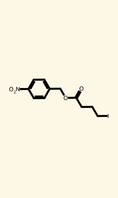 O=C(CCCI)OCc1ccc([N+](=O)[O-])cc1